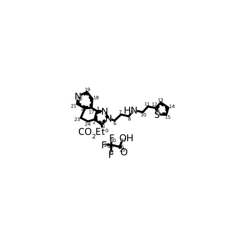 CCOC(=O)c1c2c(nn1CCCNCCc1cccs1)-c1ccncc1CC2.O=C(O)C(F)(F)F